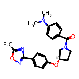 CN(C)c1ccc(C(=O)N2CC[C@@H](Oc3ccc(-c4noc(C(F)(F)F)n4)cc3)C2)cc1